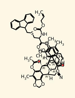 C=CCOC(=O)NC(CSCC1c2ccccc2-c2ccccc21)C(=O)Oc1cc2c(cc1OC)[C@@]1(CS[C@@H]3c4c(OC(C)=O)c(C)c5c(c4[C@H](COC1=O)N1C3[C@H]3c4c(cc(C)c(OC)c4O)C[C@@H]([C@@H]1C#N)N3C)OCO5)NCC2